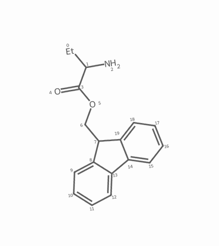 CCC(N)C(=O)OCC1c2ccccc2-c2ccccc21